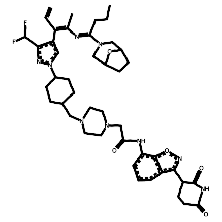 C=C/C(=C(C)/N=C(\CCC)N1CC2CCC(C1)O2)c1cn(C2CCC(CN3CCN(CC(=O)Nc4cccc5c(C6CCC(=O)NC6=O)noc45)CC3)CC2)nc1C(F)F